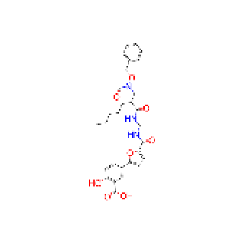 CCCCCC(CN(C=O)OCc1ccccc1)C(=O)NCNC(=O)c1ccc(-c2ccc(O)c(C(=O)O)c2)o1